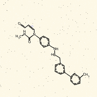 CNC(=O)N(/C=C\C=O)c1ccc(NBCc2cccc(-c3cccc(C)c3)c2)cc1